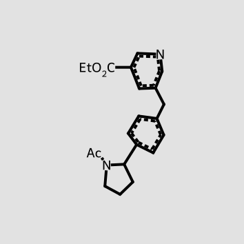 CCOC(=O)c1cncc(Cc2ccc(C3CCCN3C(C)=O)cc2)c1